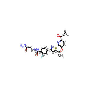 C[C@@H](Oc1ccc(C(=O)C2CC2)nc1)c1cc(-c2ccc(C(=O)NCCC(N)=O)c(F)c2)ns1